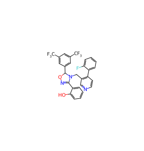 Oc1ccccc1C1=NOC(c2cc(C(F)(F)F)cc(C(F)(F)F)c2)N1Cc1cnccc1-c1ccccc1F